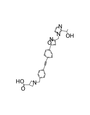 CC(O)c1nccn1Cc1cc(-c2ccc(C#Cc3ccc(CN4CC(C(=O)O)C4)cc3)cc2)on1